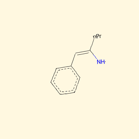 CCCC([NH])=Cc1ccccc1